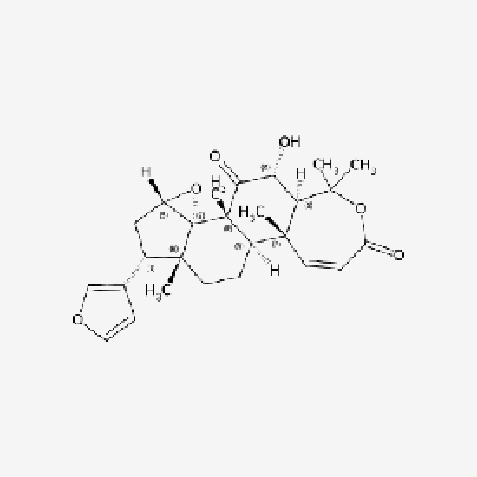 CC1(C)OC(=O)C=C[C@]2(C)[C@H]3CC[C@]4(C)[C@H](c5ccoc5)C[C@@H]5O[C@@]54[C@]3(C)C(=O)[C@H](O)[C@@H]12